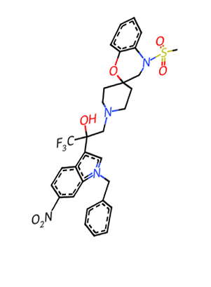 CS(=O)(=O)N1CC2(CCN(CC(O)(c3cn(Cc4ccccc4)c4cc([N+](=O)[O-])ccc34)C(F)(F)F)CC2)Oc2ccccc21